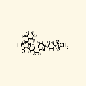 CS(=O)(=O)c1ccc(-c2ccc3cc(CC(NC(=O)c4c(F)cccc4F)C(=O)O)ccc3n2)cc1